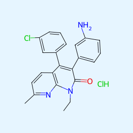 CCn1c(=O)c(-c2cccc(N)c2)c(-c2cccc(Cl)c2)c2ccc(C)nc21.Cl